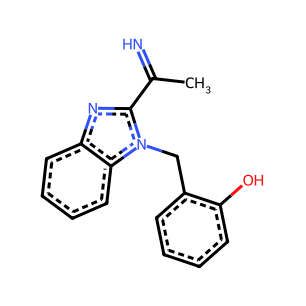 CC(=N)c1nc2ccccc2n1Cc1ccccc1O